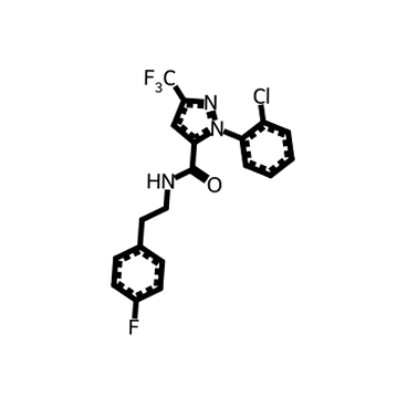 O=C(NCCc1ccc(F)cc1)c1cc(C(F)(F)F)nn1-c1ccccc1Cl